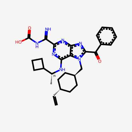 C=C[C@H]1CC[C@H](Cn2c(C(=O)c3ccccc3)nc3nc(C(=N)NC(=O)O)nc(N[C@H](C)C4CCC4)c32)CC1